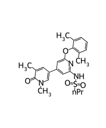 CCCS(=O)(=O)Nc1cc(-c2cc(C)c(=O)n(C)c2)cc(Oc2c(C)cccc2C)n1